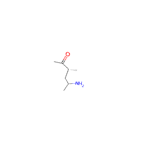 CC(=O)[C@H](C)CC(C)N